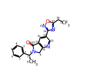 C[C@@H](c1ccccc1)N1Cc2ncc(-c3noc(CC(F)(F)F)n3)cc2C1=O